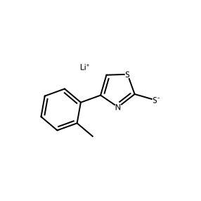 Cc1ccccc1-c1csc([S-])n1.[Li+]